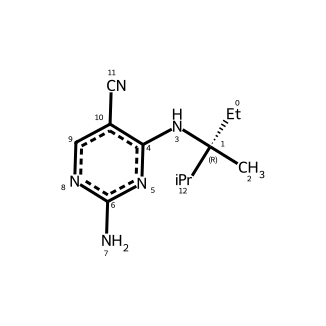 CC[C@@](C)(Nc1nc(N)ncc1C#N)C(C)C